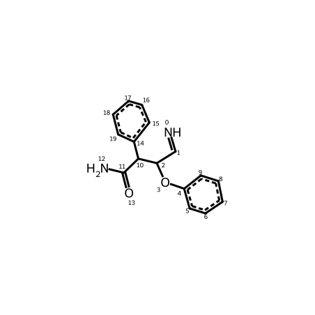 N=CC(Oc1ccccc1)C(C(N)=O)c1ccccc1